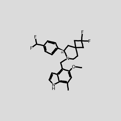 COc1cc(C)c2[nH]ccc2c1CN1CCC2(C[C@@H]1c1ccc(C(F)F)cc1)CC(F)(F)C2